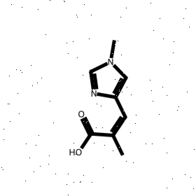 CC(=Cc1cn(C)cn1)C(=O)O